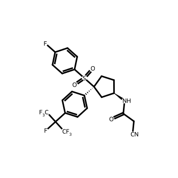 N#CCC(=O)N[C@@H]1CC[C@](c2ccc(C(F)(C(F)(F)F)C(F)(F)F)cc2)(S(=O)(=O)c2ccc(F)cc2)C1